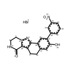 Br.O=C1NCCn2nc3c(c21)CCc1cc(O)c(-c2cccc([N+](=O)[O-])c2)cc1-3